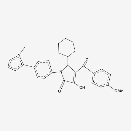 COc1ccc(C(=O)C2=C(O)C(=O)N(c3ccc(-c4cccn4C)cc3)C2C2CCCCC2)cc1